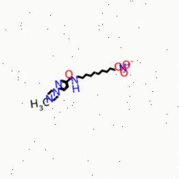 CN1CCN(c2ccc(C(=O)NCCCCCCCCCCO[N+](=O)[O-])cn2)CC1